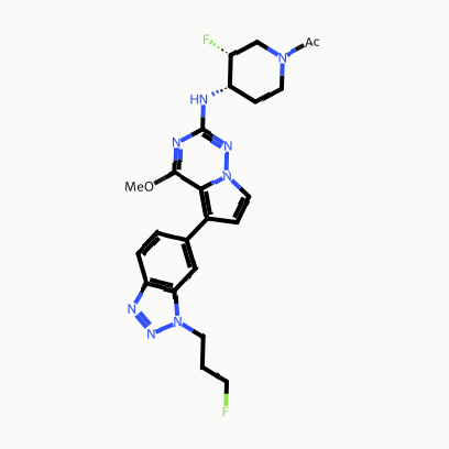 COc1nc(N[C@H]2CCN(C(C)=O)C[C@H]2F)nn2ccc(-c3ccc4nnn(CCCF)c4c3)c12